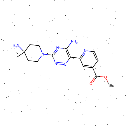 CC1(N)CCN(c2nnc(-c3cc(C(=O)OC(C)(C)C)ccn3)c(N)n2)CC1